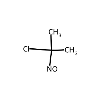 CC(C)(Cl)N=O